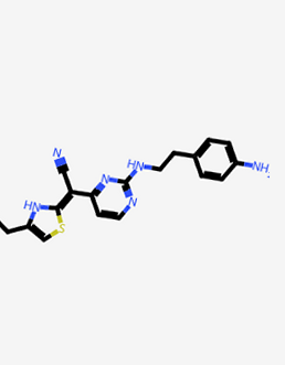 CCC1=CSC(=C(C#N)c2ccnc(NCCc3ccc(N)cc3)n2)N1